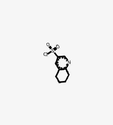 O=S(=O)(Cl)c1cnc2c(c1)CCCC2